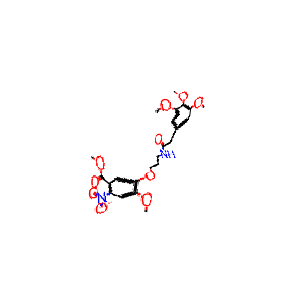 COC(=O)c1cc(OCCCNC(=O)Cc2cc(OC)c(OC)c(OC)c2)c(OC)cc1[N+](=O)[O-]